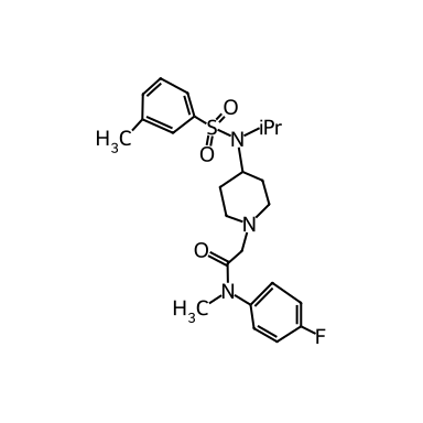 Cc1cccc(S(=O)(=O)N(C(C)C)C2CCN(CC(=O)N(C)c3ccc(F)cc3)CC2)c1